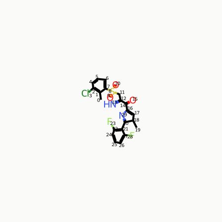 Cc1c(Cl)cccc1S(=O)(=O)CC(=N)C(=O)C1=CC(C)C(c2c(F)cccc2F)=N1